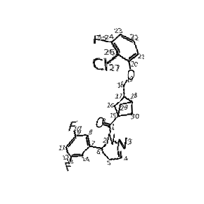 O=C(N1N=CCC1c1cc(F)cc(F)c1)C12CC(COc3cccc(F)c3Cl)C(C1)C2